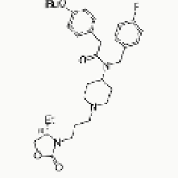 CC[C@H]1COC(=O)N1CCCN1CCC(N(Cc2ccc(F)cc2)C(=O)Cc2ccc(OCC(C)C)cc2)CC1